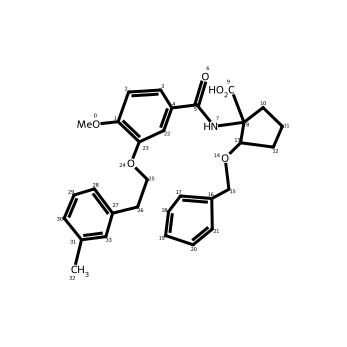 COc1ccc(C(=O)NC2(C(=O)O)CCCC2OCc2ccccc2)cc1OCCc1cccc(C)c1